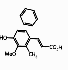 COc1c(O)ccc(C=CC(=O)O)c1C.c1ccccc1